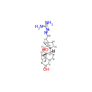 C[C@]12CCC(O)CC1CC[C@@H]1[C@H]2CC[C@]2(C)C(C/C=N/N=C(N)N)CC[C@@]12O